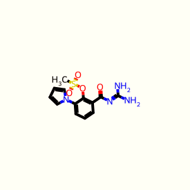 CS(=O)(=O)Oc1c(C(=O)N=C(N)N)cccc1-n1cccc1